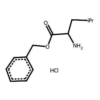 CC(C)CC(N)C(=O)OCc1ccccc1.Cl